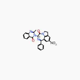 Cc1nc2ccccc2c(=O)n1[C@@H]1N=C(c2ccccc2)c2cc([N+](=O)[O-])cc3c2N(CC3)C1=O